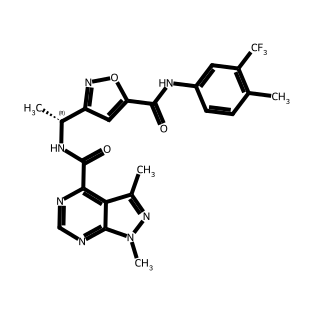 Cc1ccc(NC(=O)c2cc([C@@H](C)NC(=O)c3ncnc4c3c(C)nn4C)no2)cc1C(F)(F)F